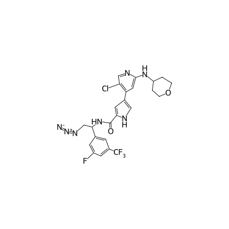 [N-]=[N+]=NCC(NC(=O)c1cc(-c2cc(NC3CCOCC3)ncc2Cl)c[nH]1)c1cc(F)cc(C(F)(F)F)c1